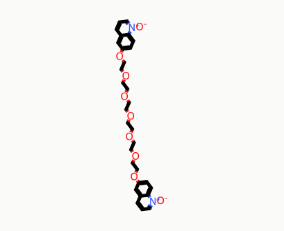 [O-][n+]1cccc2cc(OCCOCCOCCOCCOCCOCCOc3ccc4c(ccc[n+]4[O-])c3)ccc21